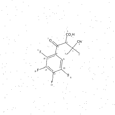 CC(C)(C#N)C(C(=O)O)C(=O)c1cc(F)c(F)c(F)c1F